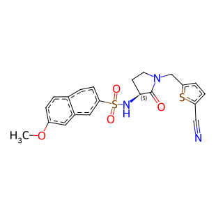 COc1ccc2ccc(S(=O)(=O)N[C@H]3CCN(Cc4ccc(C#N)s4)C3=O)cc2c1